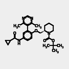 Cc1ncnc(C)c1-c1cc(NC(=O)C2CC2)ccc1OC[C@@H]1CCCCN1C(=O)OC(C)(C)C